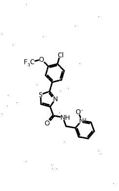 O=C(NCc1cccc[n+]1[O-])c1csc(-c2ccc(Cl)c(OC(F)(F)F)c2)n1